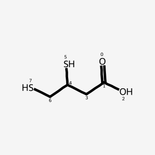 O=C(O)CC(S)CS